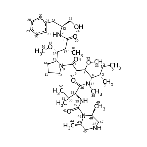 CC[C@H](C)[C@@H]([C@@H](CC(=O)N1CCC[C@H]1[C@H](OC)[C@@H](C)C(=O)N[C@H](CO)Cc1ccccc1)OC)N(C)C(=O)[C@@H](NC(=O)N1[C@H](C)CNC[C@@H]1C)C(C)C